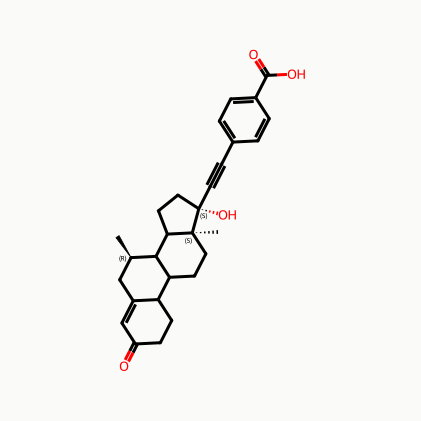 C[C@@H]1CC2=CC(=O)CCC2C2CC[C@@]3(C)C(CC[C@@]3(O)C#Cc3ccc(C(=O)O)cc3)C21